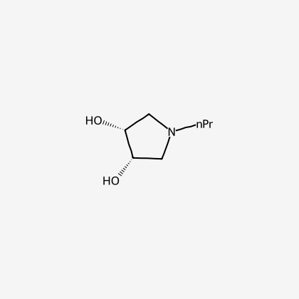 CCCN1C[C@@H](O)[C@@H](O)C1